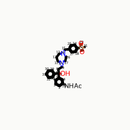 CC(=O)Nc1cccc(C(O)(CCN2CCCN(Cc3ccc(S(C)(=O)=O)cc3)CC2)c2ccccc2)c1